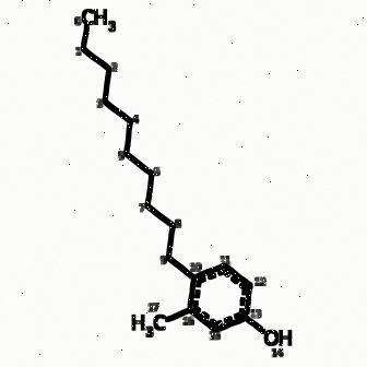 CCCCCCCCCCc1ccc(O)cc1C